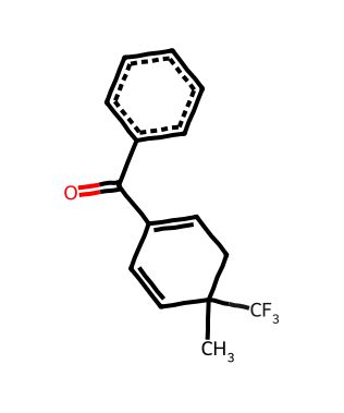 CC1(C(F)(F)F)C=CC(C(=O)c2ccccc2)=CC1